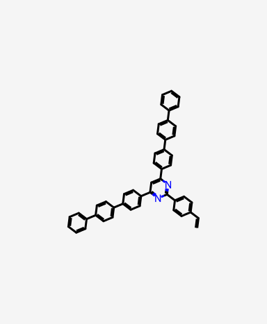 C=Cc1ccc(-c2nc(-c3ccc(-c4ccc(-c5ccccc5)cc4)cc3)cc(-c3ccc(-c4ccc(-c5ccccc5)cc4)cc3)n2)cc1